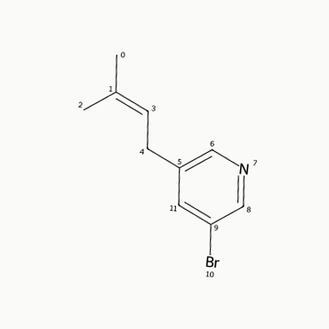 CC(C)=CCc1cncc(Br)c1